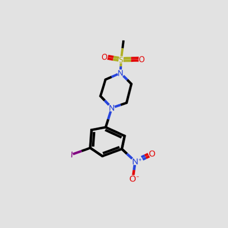 CS(=O)(=O)N1CCN(c2cc(I)cc([N+](=O)[O-])c2)CC1